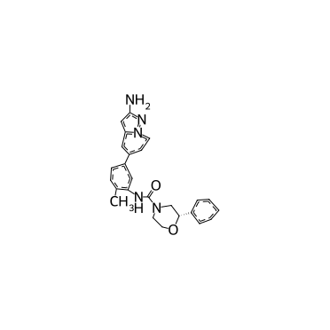 Cc1ccc(-c2ccn3nc(N)cc3c2)cc1NC(=O)N1CCO[C@@H](c2ccccc2)C1